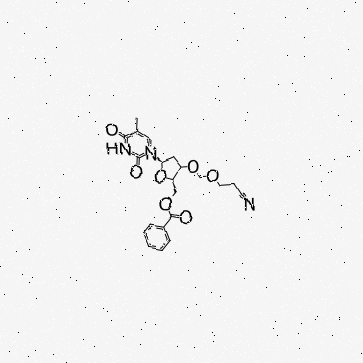 Cc1cn([C@H]2CC(OCOCCC#N)[C@@H](COC(=O)c3ccccc3)O2)c(=O)[nH]c1=O